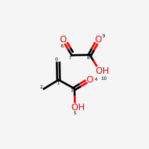 C=C(C)C(=O)O.O=CC(=O)O